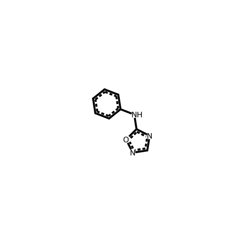 c1ccc(Nc2ncno2)cc1